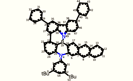 CC(C)(C)c1cc(N2c3cc4cc5ccccc5cc4cc3B3c4c(cccc42)-c2cc(-c4ccccc4)cc4c5cc(-c6ccccc6)ccc5n3c24)cc(C(C)(C)C)c1